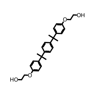 CC(C)(c1ccc(OCCO)cc1)c1ccc(C(C)(C)c2ccc(OCCO)cc2)cc1